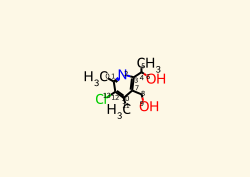 Cc1nc(C(C)O)c(CO)c(C)c1Cl